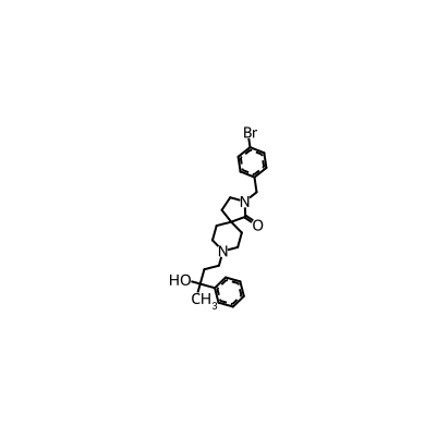 CC(O)(CCN1CCC2(CC1)CCN(Cc1ccc(Br)cc1)C2=O)c1ccccc1